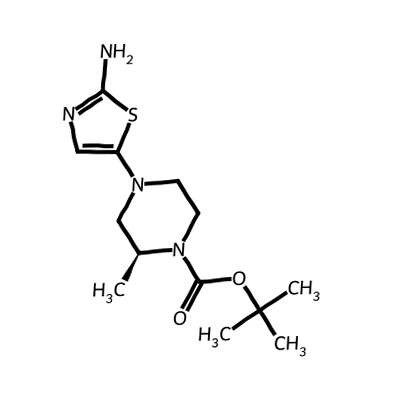 C[C@H]1CN(c2cnc(N)s2)CCN1C(=O)OC(C)(C)C